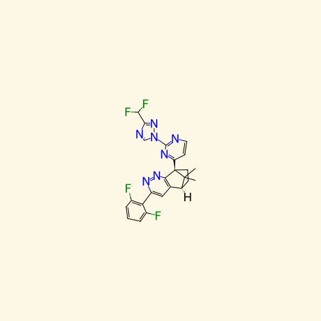 CC1(C)[C@H]2CC[C@@]1(c1ccnc(-n3cnc(C(F)F)n3)n1)c1nnc(-c3c(F)cccc3F)cc12